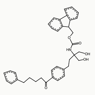 O=C(NC(CO)(CO)CCc1ccc(C(=O)CCCCc2ccccc2)cc1)OCC1c2ccccc2-c2ccccc21